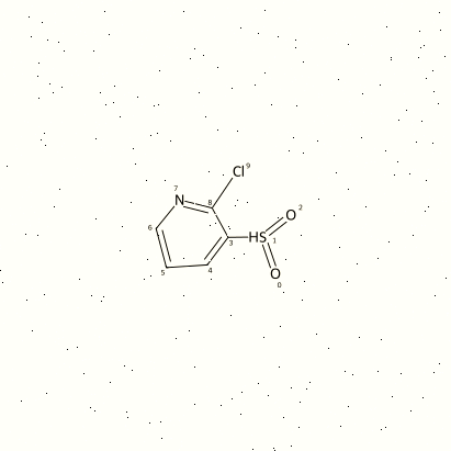 O=[SH](=O)c1cccnc1Cl